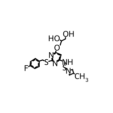 CC1CN(SNc2cc(OCC(O)CO)nc(SCc3ccc(F)cc3)n2)C1